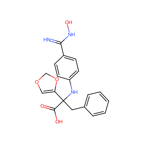 N=C(NO)c1ccc(NC(Cc2ccccc2)(C(=O)O)C2=COCO2)cc1